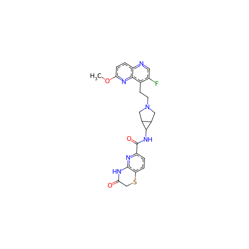 COc1ccc2ncc(F)c(CCN3CC4C(C3)C4NC(=O)c3ccc4c(n3)NC(=O)CS4)c2n1